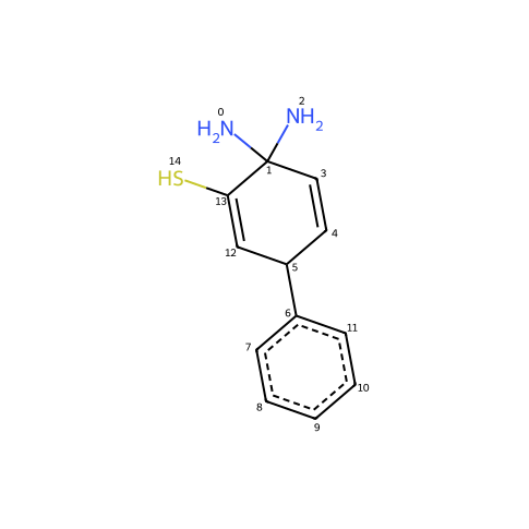 NC1(N)C=CC(c2ccccc2)C=C1S